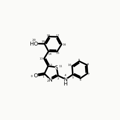 O=C1N=C(Nc2ccccc2)SC1=Cc1ccccc1O